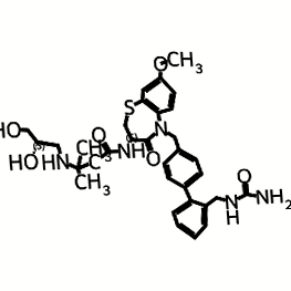 COc1ccc2c(c1)SC[C@@H](NC(=O)CC(C)(C)NC[C@H](O)CO)C(=O)N2Cc1ccc(-c2ccccc2CNC(N)=O)cc1